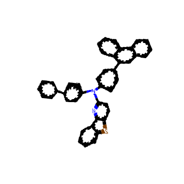 c1ccc(-c2ccc(N(c3ccc(-c4cc5ccccc5c5ccccc45)cc3)c3ccc4sc5ccccc5c4n3)cc2)cc1